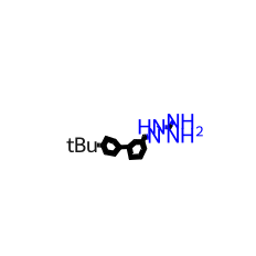 CC(C)(C)c1ccc(-c2cccc(/C=N/NC(=N)N)c2)cc1